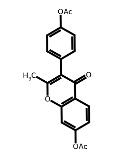 CC(=O)Oc1ccc(-c2c(C)oc3cc(OC(C)=O)ccc3c2=O)cc1